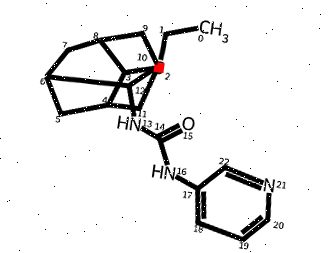 CCSC1C2CC3CC1CC(C2)C3NC(=O)Nc1cccnc1